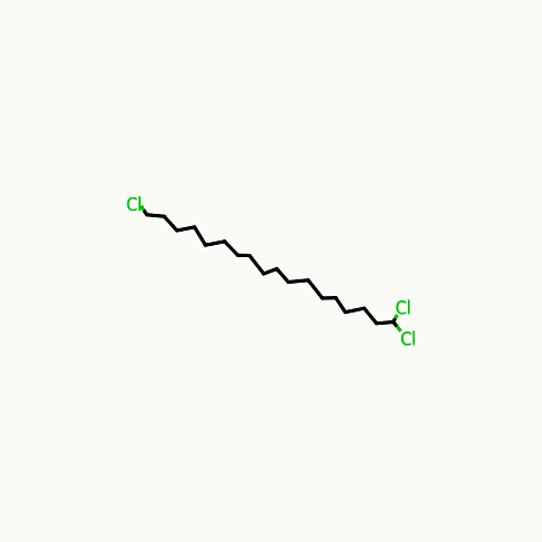 ClCCCCCCCCCCCCCCCCCC(Cl)Cl